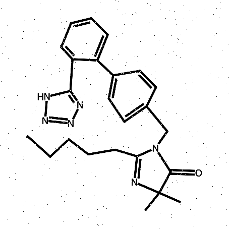 CCCCCC1=NC(C)(C)C(=O)N1Cc1ccc(-c2ccccc2-c2nnn[nH]2)cc1